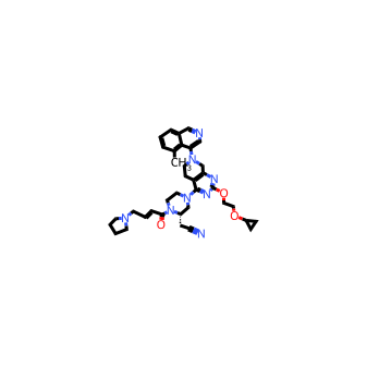 Cc1cccc2cncc(N3CCc4c(nc(OCCOC5CC5)nc4N4CCN(C(=O)/C=C/CN5CCCC5)[C@@H](CC#N)C4)C3)c12